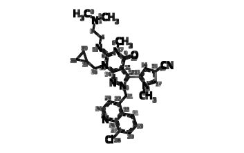 CN(C)CCN=c1n(C)c(=O)c2c(-c3cc(C#N)cn3C)n(Cc3ccnc4c(Cl)cccc34)nc2n1CC1CC1